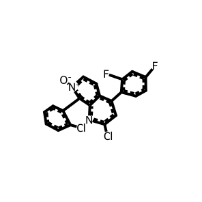 [O-][n+]1ccc2c(-c3ccc(F)cc3F)cc(Cl)nc2c1-c1ccccc1Cl